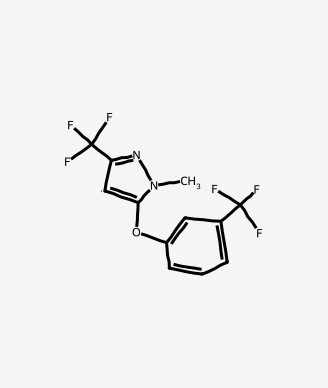 Cn1nc(C(F)(F)F)[c]c1Oc1cccc(C(F)(F)F)c1